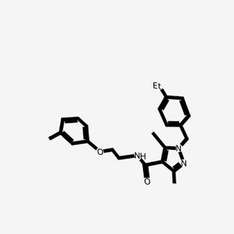 CCc1ccc(Cn2nc(C)c(C(=O)NCCOc3cccc(C)c3)c2C)cc1